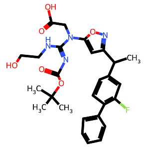 CC(c1ccc(-c2ccccc2)c(F)c1)c1cc(N(CC(=O)O)C(=NC(=O)OC(C)(C)C)NCCO)on1